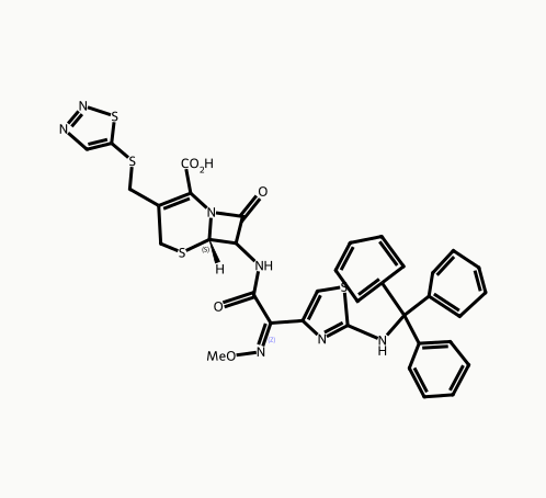 CO/N=C(\C(=O)NC1C(=O)N2C(C(=O)O)=C(CSc3cnns3)CS[C@@H]12)c1csc(NC(c2ccccc2)(c2ccccc2)c2ccccc2)n1